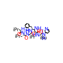 CC[C@H](C)[C@H](NC(=O)C[C@H](N)[C@H](Cc1ccccc1)NC(=O)[C@@H](NC(=O)[C@H](CC(C)C)NC(=O)CC(C)C)C(C)C)C(=O)Nc1cccnc1